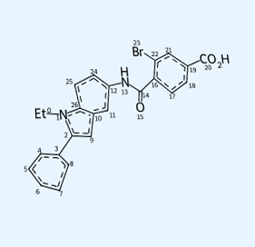 CCn1c(-c2ccccc2)cc2cc(NC(=O)c3ccc(C(=O)O)cc3Br)ccc21